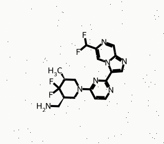 C[C@H]1CN(c2ccnc(-c3cnc4cnc(C(F)F)cn34)n2)C[C@@H](CN)C1(F)F